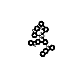 c1ccc2cc3c(cc2c1)c1ccccc1n3-c1ccc(-c2nc(-c3cccc4c3sc3ccccc34)nc(-c3cccc4sc5ccccc5c34)n2)c(-c2ccc3c(c2)sc2ccccc23)c1